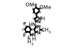 COc1ccc(-c2cc(Nc3cc(NC(C)c4ccc(F)cc4F)nc(C)n3)n[nH]2)cc1OC